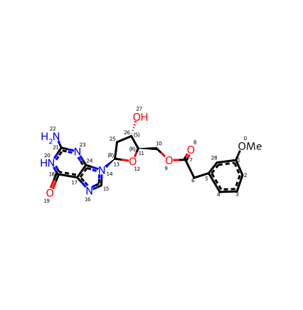 COc1cccc(CC(=O)OC[C@H]2O[C@@H](n3cnc4c(=O)[nH]c(N)nc43)C[C@@H]2O)c1